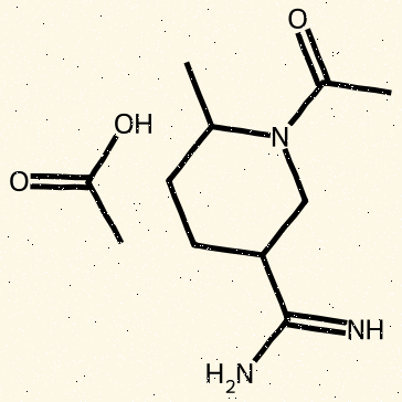 CC(=O)N1CC(C(=N)N)CCC1C.CC(=O)O